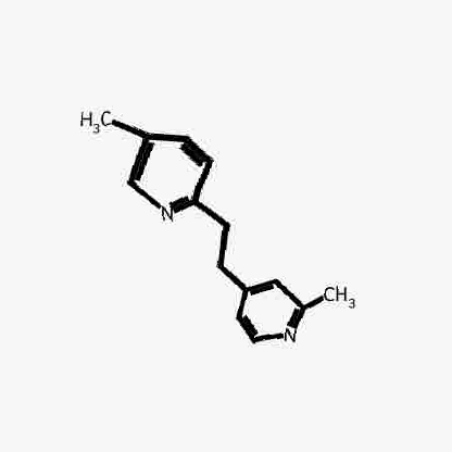 Cc1ccc(CCc2ccnc(C)c2)nc1